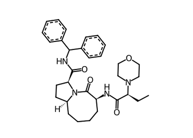 CC[C@@H](C(=O)N[C@H]1CCCC[C@H]2CC[C@@H](C(=O)NC(c3ccccc3)c3ccccc3)N2C1=O)N1CCOCC1